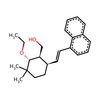 CCO[C@@H]1[C@@H](CO)[C@@H](C=Cc2cccc3ccccc23)CCC1(C)C